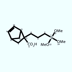 CO[Si](CCCC1(C(=O)O)CC2C=CC1C2)(OC)OC